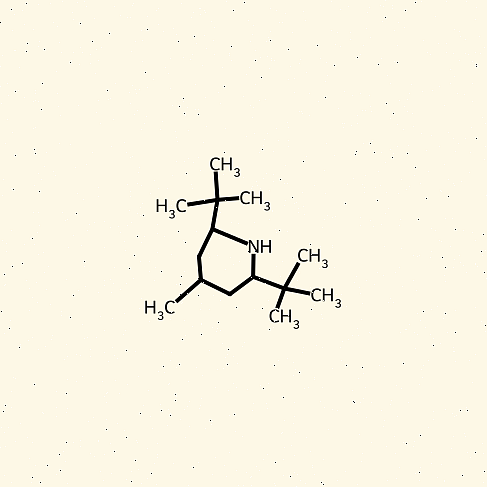 CC1CC(C(C)(C)C)NC(C(C)(C)C)C1